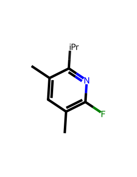 Cc1cc(C)c(C(C)C)nc1F